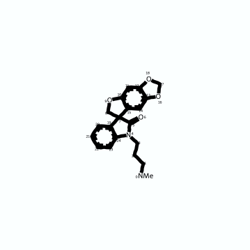 CNCCCN1C(=O)C2(COc3cc4c(cc32)OCO4)c2ccccc21